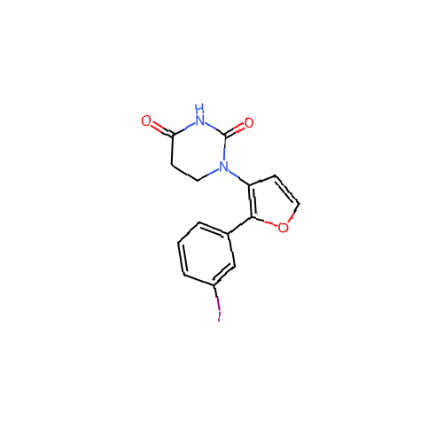 O=C1CCN(c2ccoc2-c2cccc(I)c2)C(=O)N1